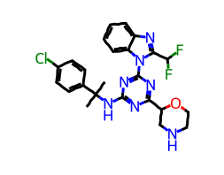 CC(C)(Nc1nc(C2CNCCO2)nc(-n2c(C(F)F)nc3ccccc32)n1)c1ccc(Cl)cc1